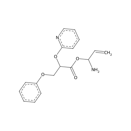 C=CC(N)OC(=O)C(COc1ccccc1)Oc1ccccn1